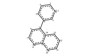 c1cncc(-c2ccnc3ncccc23)c1